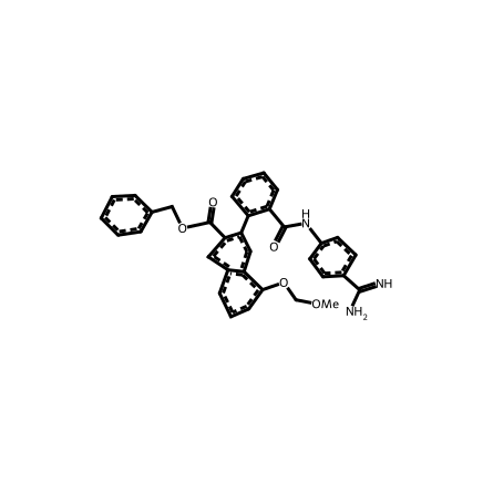 COCOc1cccc2cc(C(=O)OCc3ccccc3)c(-c3ccccc3C(=O)Nc3ccc(C(=N)N)cc3)cc12